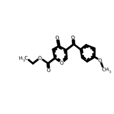 CCOC(=O)c1cc(=O)c(C(=O)c2ccc(OC)cc2)co1